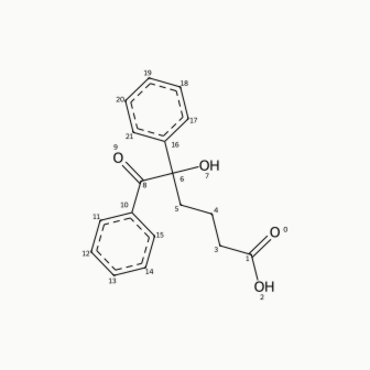 O=C(O)CCCC(O)(C(=O)c1ccccc1)c1ccccc1